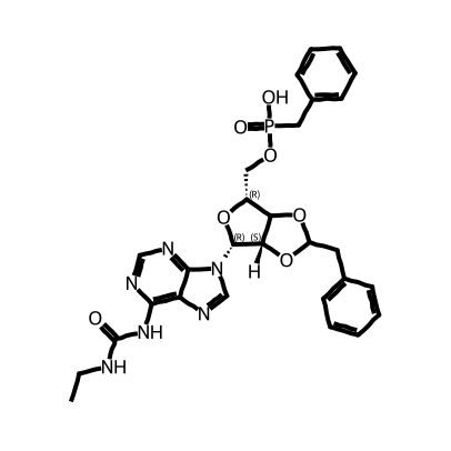 CCNC(=O)Nc1ncnc2c1ncn2[C@@H]1O[C@H](COP(=O)(O)Cc2ccccc2)C2OC(Cc3ccccc3)O[C@@H]21